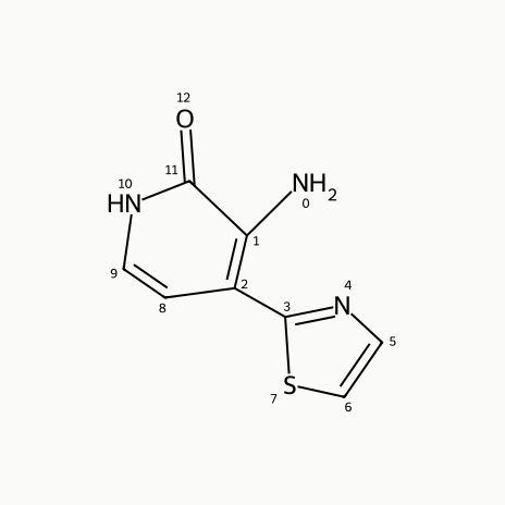 Nc1c(-c2nccs2)cc[nH]c1=O